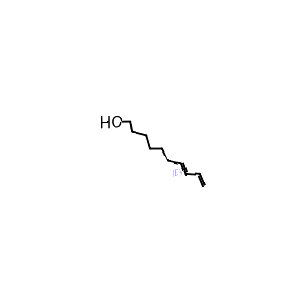 C=C/C=C/CCCCCCO